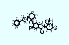 O=C1CCC(N2Cc3cc(O[C@H]4CCCC[C@@H]4N4CC(c5ccccc5)C4)c(F)cc3C2=O)C(=O)N1